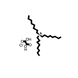 CCCCCCCC[N+](C)(CCCCCCCC)CCCCCCCC.O=C(O)C(=O)O.[Cl-]